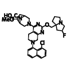 COC1CC2CN(c3nc(OCC45CCCN4CC(F)C5)nc4c3CCN(c3cccc5cccc(Cl)c35)C4)CC1N2C(=O)O